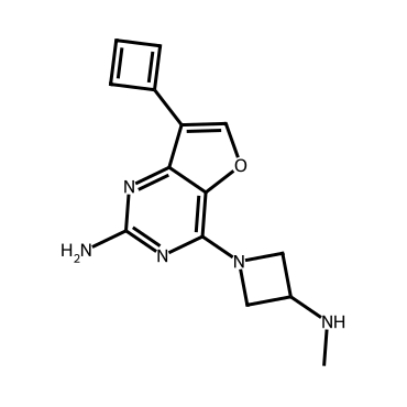 CNC1CN(c2nc(N)nc3c(C4=CC=C4)coc23)C1